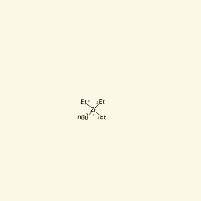 CCC[CH2][Zr]([CH2]C)([CH2]C)[CH2]C